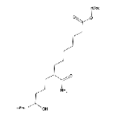 CCCCCCCCCCOC(=O)CCCCCCC(CCCC(O)CCCCC)C(N)=O